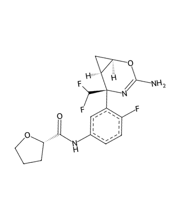 NC1=N[C@@](c2cc(NC(=O)[C@@H]3CCCO3)ccc2F)(C(F)F)[C@H]2C[C@H]2O1